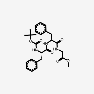 COC(=O)CNC(=O)[C@H](Cc1ccccc1)NC(=O)[C@H](Cc1ccccc1)NC(=O)OC(C)(C)C